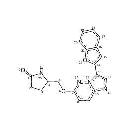 O=C1CCC(COc2ccc3ncc(-c4cc5ccccc5o4)n3n2)N1